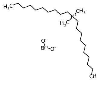 CCCCCCCCCC[N+](C)(C)CCCCCCCCCC.[O-][Br+][O-]